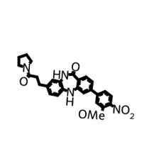 COc1cc(-c2ccc3c(c2)Nc2ccc(CCC(=O)N4CCCC4)cc2NC3=O)ccc1[N+](=O)[O-]